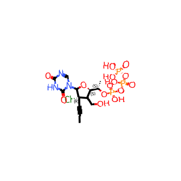 CC#C[C@]1(Cl)C(CO)[C@@H]([C@H](C)OP(=O)(O)OP(=O)(O)OP(=O)(O)O)OC1n1cnc(=O)[nH]c1=O